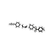 CCCC[C@H]1CC[C@H](C=CC#C[C@H]2CC[C@H](OC(=O)c3ccc(C)cc3)CC2)CC1